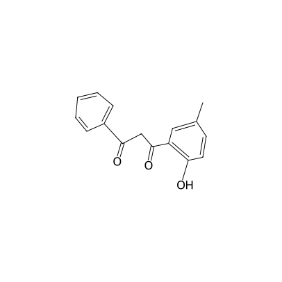 Cc1ccc(O)c(C(=O)CC(=O)c2ccccc2)c1